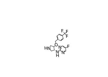 Fc1cnc(N[C@@H]2CNC[C@H]2OCc2ccc(C(F)(F)F)cc2)nc1